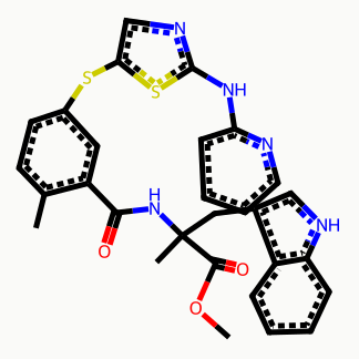 COC(=O)C(C)(Cc1c[nH]c2ccccc12)NC(=O)c1cc(Sc2cnc(Nc3ccccn3)s2)ccc1C